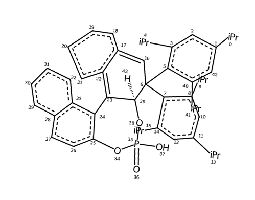 CC(C)c1cc(C(C)C)c(C2(c3c(C(C)C)cc(C(C)C)cc3C(C)C)C=c3ccccc3=C3c4c(ccc5ccccc45)OP(=O)(O)O[C@@H]32)c(C(C)C)c1